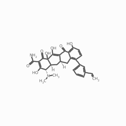 C=Cc1cccc(-c2ccc(O)c3c2C[C@H]2C[C@H]4[C@H](N(C)C)C(O)=C(C(N)=O)C(=O)C4(O)C(O)=C2C3=O)c1